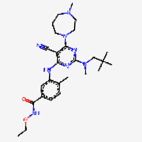 CCONC(=O)c1ccc(C)c(Nc2nc(N(C)CC(C)(C)C)nc(N3CCCN(C)CC3)c2C#N)c1